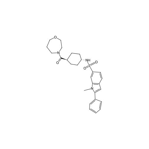 Cn1c(-c2ccccc2)cc2ccc(S(=O)(=O)N[C@H]3CC[C@H](C(=O)N4CCCOCC4)CC3)cc21